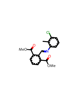 COC(=O)c1cccc(C(=O)OC)c1/C=N/c1cccc(Cl)c1C